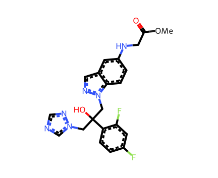 COC(=O)CNc1ccc2c(cnn2CC(O)(Cn2cncn2)c2ccc(F)cc2F)c1